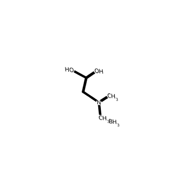 B.CN(C)CC(O)O